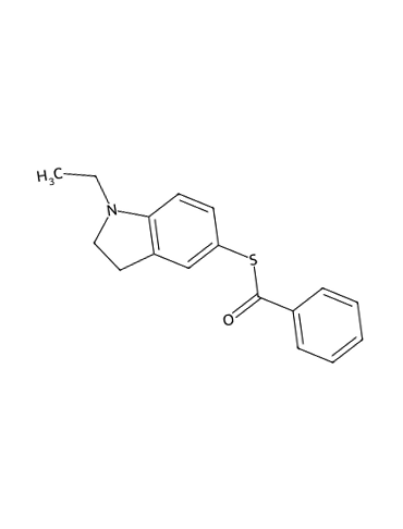 CCN1CCc2cc(SC(=O)c3ccccc3)ccc21